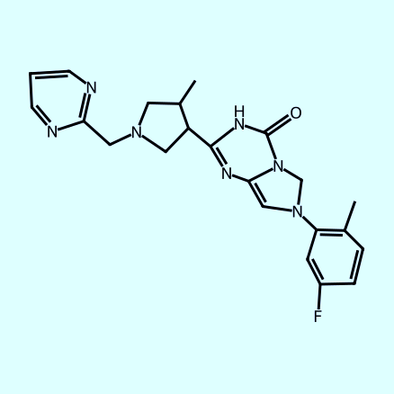 Cc1ccc(F)cc1N1C=C2N=C(C3CN(Cc4ncccn4)CC3C)NC(=O)N2C1